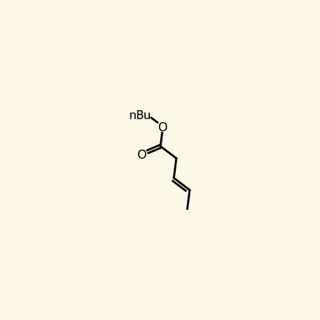 CC=CCC(=O)OCCCC